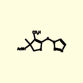 CC(=O)NC1(C)CSC(Sn2ccnn2)=C1C(=O)O